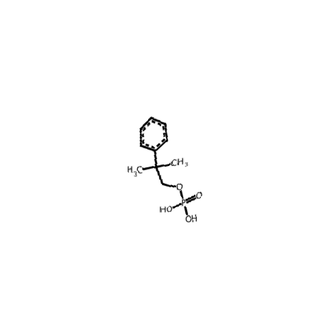 CC(C)(COP(=O)(O)O)c1ccccc1